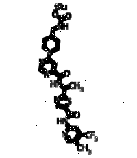 Cc1cnc(NC(=O)c2cnc(C(C)NC(=O)c3cc(N4CCC(CNC(=O)OC(C)(C)C)CC4)ncn3)s2)cc1C(F)(F)F